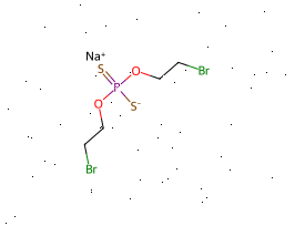 S=P([S-])(OCCBr)OCCBr.[Na+]